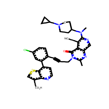 Cc1nc2cnc(N(C)C3CCN(C4CC4)CC3)c(C#N)c2c(=O)n1CC#Cc1ccc(Cl)cc1-c1ccnc2c(C(=O)O)csc12